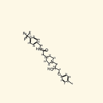 Cc1ccc(OC[C@@H](O)CN2CCN(CC(=O)NCc3ccc(C(F)(F)F)cc3)CC2)cc1